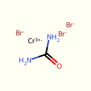 NC(N)=O.[Br-].[Br-].[Br-].[Cr+3]